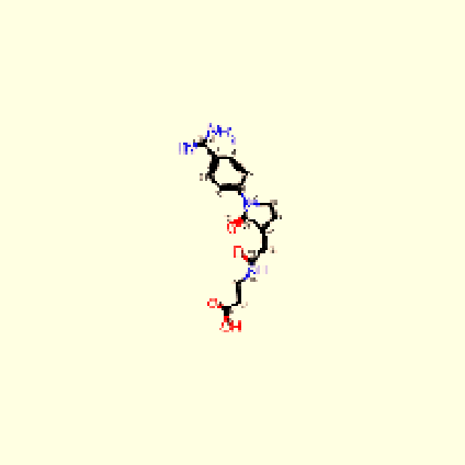 N=C(N)c1ccc(N2CCC(CC(=O)NCCC(=O)O)C2=O)cc1